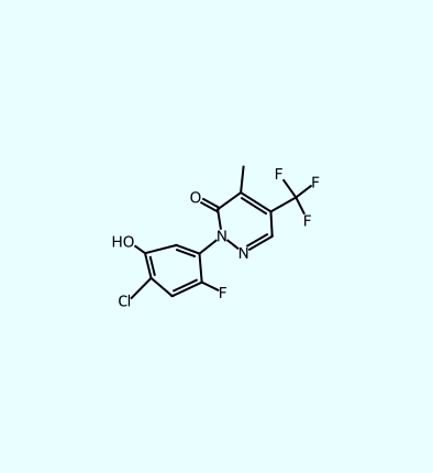 Cc1c(C(F)(F)F)cnn(-c2cc(O)c(Cl)cc2F)c1=O